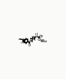 Cc1ccc(C(=O)N2CC3(CC(NC(=O)OC(C)(C)C)C3)C2)cc1